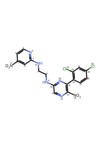 O=[N+]([O-])c1ccnc(NCCNc2cnc([N+](=O)[O-])c(-c3ccc(Cl)cc3Cl)n2)c1